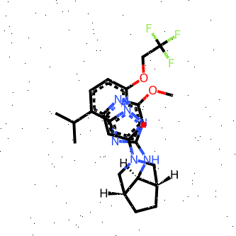 COc1cc(N2C[C@H]3CC[C@@H](C2)[C@@H]3Nc2nc3c(C(C)C)ccc(OCC(F)(F)F)n3n2)ccn1